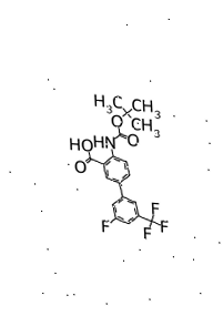 CC(C)(C)OC(=O)Nc1ccc(-c2cc(F)cc(C(F)(F)F)c2)cc1C(=O)O